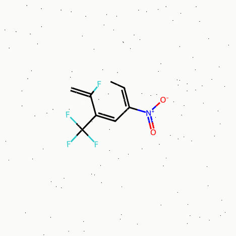 C=C(F)/C(=C\C(=C/C)[N+](=O)[O-])C(F)(F)F